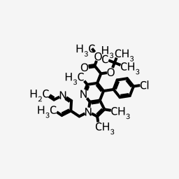 C=C/N=C\C(=C/C)Cn1c(C)c(C)c2c(-c3ccc(Cl)cc3)c(C(OC(C)(C)C)C(=O)OC)c(C)nc21